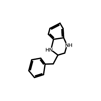 c1ccc(CC2CNc3ccccc3N2)cc1